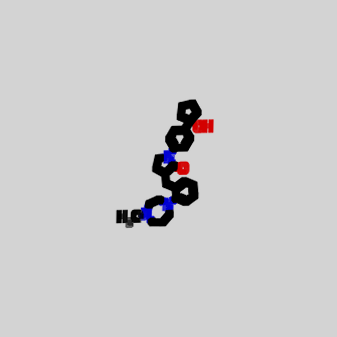 CN1CCCN(c2ccccc2CC2CCN(c3ccc(C4(O)CCCC4)cc3)C2=O)CC1